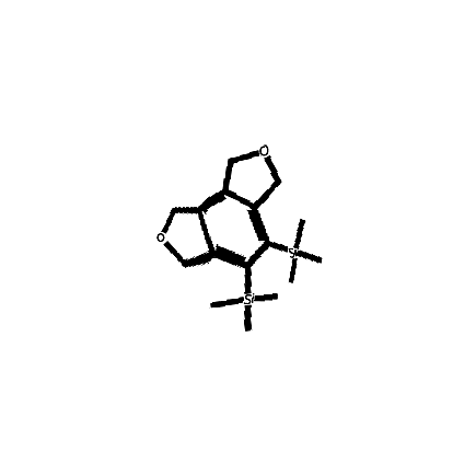 C[Si](C)(C)c1c2c(c3c(c1[Si](C)(C)C)COC3)COC2